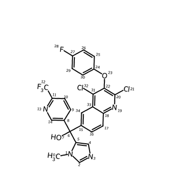 Cn1cncc1C(O)(c1ccc(C(F)(F)F)nc1)c1ccc2nc(Cl)c(Oc3ccc(F)cc3)c(Cl)c2c1